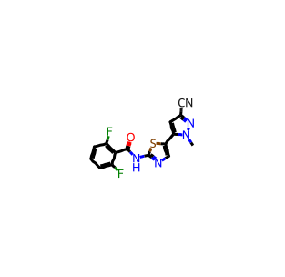 Cn1nc(C#N)cc1-c1cnc(NC(=O)c2c(F)cccc2F)s1